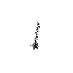 CCCCCCCCCCCCCCCCCC(=O)N[C@H](CC)C(C)C